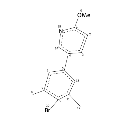 COc1ccc(-c2cc(C)c(Br)c(C)c2)cn1